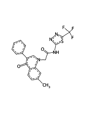 Cc1ccc2c(=O)c(-c3ccccc3)cn(CC(=O)Nc3nnc(C(F)(F)F)s3)c2c1